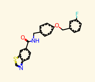 O=C(NCc1ccc(OCc2cccc(F)c2)cc1)c1ccc2ncsc2c1